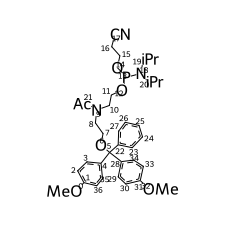 COc1ccc(C(OCCN(CCOP(OCCC#N)N(C(C)C)C(C)C)C(C)=O)(c2ccccc2)c2ccc(OC)cc2)cc1